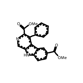 COC(=O)c1ccc2[nH]c3cnc(C(=O)OC)c(-c4ccccc4)c3c2c1